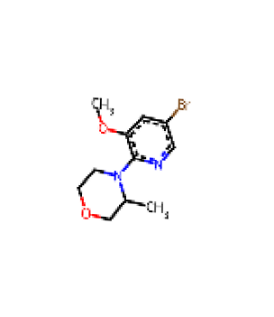 COc1cc(Br)cnc1N1CCOCC1C